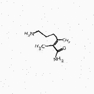 CC(CCCN)=C(C)C(N)=O